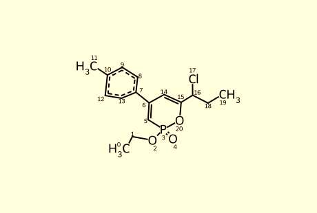 CCOP1(=O)C=C(c2ccc(C)cc2)C=C(C(Cl)CC)O1